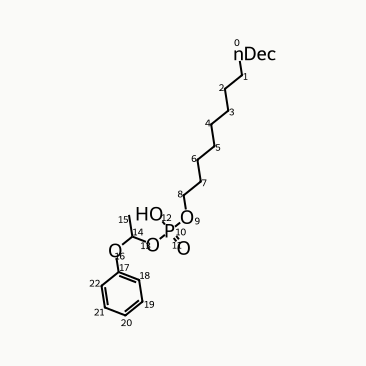 CCCCCCCCCCCCCCCCCCOP(=O)(O)OC(C)Oc1ccccc1